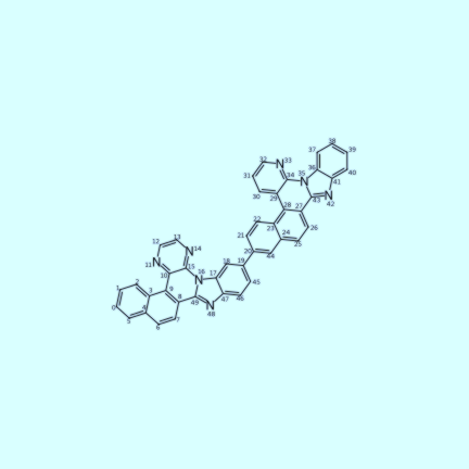 c1ccc2c(c1)ccc1c2c2nccnc2n2c3cc(-c4ccc5c(ccc6c5c5cccnc5n5c7ccccc7nc65)c4)ccc3nc12